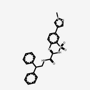 Cn1cc(-c2ccc3c(c2)S(=O)(=O)NC(C(=O)NCC(c2ccccc2)c2ccccc2)=N3)cn1